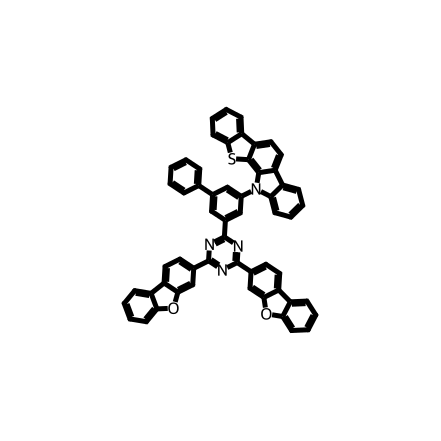 c1ccc(-c2cc(-c3nc(-c4ccc5c(c4)oc4ccccc45)nc(-c4ccc5c(c4)oc4ccccc45)n3)cc(-n3c4ccccc4c4ccc5c6ccccc6sc5c43)c2)cc1